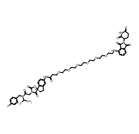 CC(N(Cc1ccc(F)cc1)C(=O)CN1C(=O)O[C@@]2(CCc3cc(NC(=O)CCOCCOCCOCCOCCOCCOCCNc4cccc5c4C(=O)N(C4CCC(=O)NC4=O)C5=O)ccc32)C1=O)C(F)(F)F